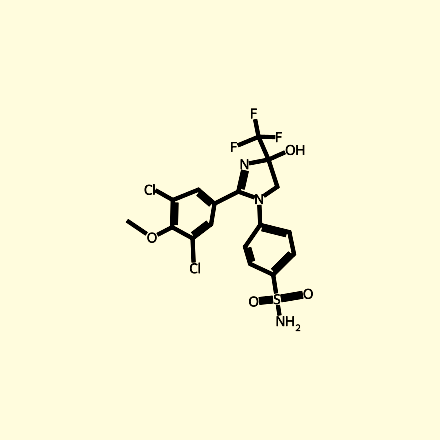 COc1c(Cl)cc(C2=NC(O)(C(F)(F)F)CN2c2ccc(S(N)(=O)=O)cc2)cc1Cl